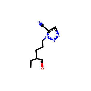 CCC(C=O)CCCn1nncc1C#N